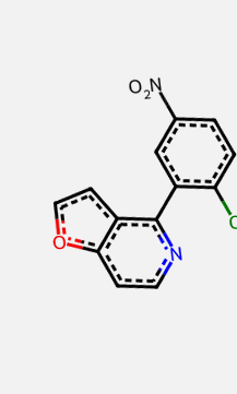 O=[N+]([O-])c1ccc(Cl)c(-c2nccc3occc23)c1